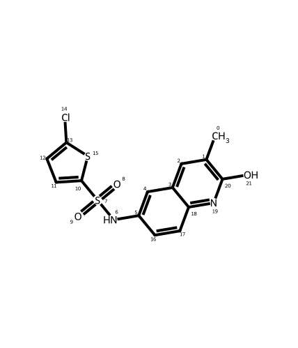 Cc1cc2cc(NS(=O)(=O)c3ccc(Cl)s3)ccc2nc1O